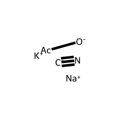 CC(=O)[O-].[C-]#N.[K+].[Na+]